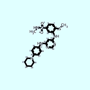 CNS(=O)(=O)c1ccc(SC)c(Nc2cc(Nc3ccc(N4CCCCC4)cc3)ncn2)c1